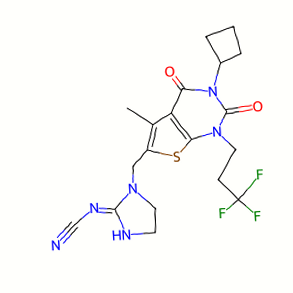 Cc1c(CN2CCN/C2=N\C#N)sc2c1c(=O)n(C1CCC1)c(=O)n2CCC(F)(F)F